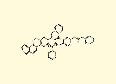 O=C(c1ccccc1)N(Cc1ccc(CNCc2ccccn2)cc1)c1nc2ccccc2cc1C1C=CC2=C(CCc3c2ccc2ccccc32)C1